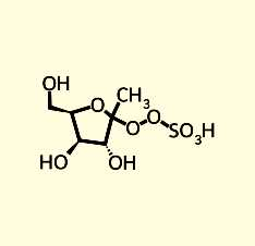 CC1(OOS(=O)(=O)O)O[C@H](CO)[C@H](O)[C@H]1O